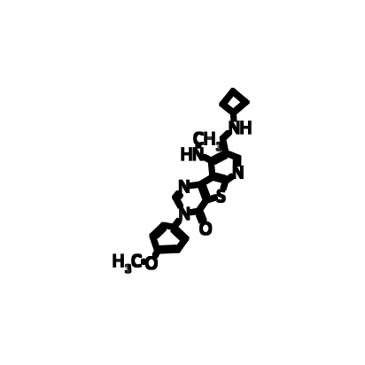 CNc1c(CNC2CCC2)cnc2sc3c(=O)n(-c4ccc(OC)cc4)cnc3c12